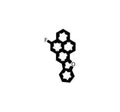 Fc1cc2cc3c4ccccc4oc3c3ccc4cccc1c4c23